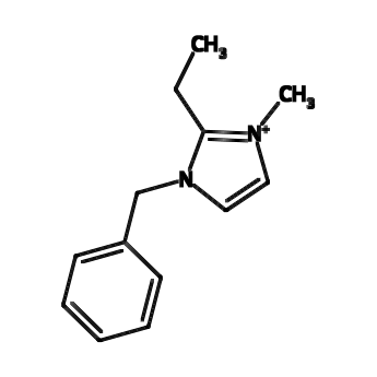 CCc1n(Cc2ccccc2)cc[n+]1C